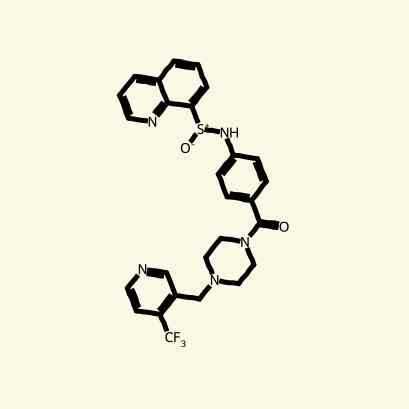 O=C(c1ccc(N[S+]([O-])c2cccc3cccnc23)cc1)N1CCN(Cc2cnccc2C(F)(F)F)CC1